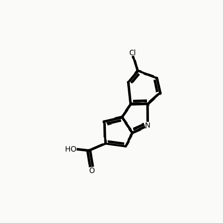 O=C(O)C1=CC2=Nc3ccc(Cl)cc3C2=C1